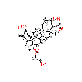 C=C(CO)[C@@H]1CC[C@]2(C(=C)OCCO)CC[C@]3(C)C(CC[C@@H]4[C@@]5(C)CC[C@H](O)[C@@](C)(CO)[C@@H]5CC[C@]43C)[C@@H]12